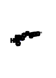 O=C1Nc2ccccc2/C1=C1\C=Cc2cc(OCC[N+]3([O-])CC[S+]([O-])CC3)ccc2N1